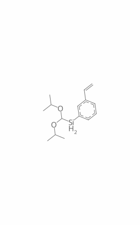 C=Cc1cccc([SiH2]C(OC(C)C)OC(C)C)c1